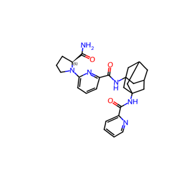 NC(=O)[C@@H]1CCCN1c1cccc(C(=O)NC23CC4CC(CC(NC(=O)c5ccccn5)(C4)C2)C3)n1